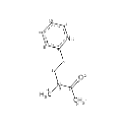 [CH2]C(=O)N(C)CCc1ccccn1